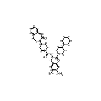 Nc1ccc(C[C@@H](OC(=O)N2CCC(N3CCc4ccccc4NC3=O)CC2)C(=O)N2CCC(N3CCCCC3)CC2)cc1Br